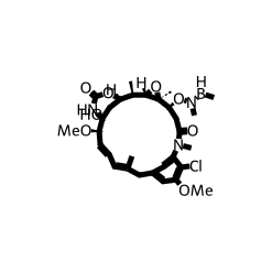 CBN(C)O[C@H]1CC(=O)N(C)c2cc(cc(OC)c2Cl)C/C(C)=C/C=C/[C@@H](OC)[C@@]2(O)C[C@H](OC(=O)N2)[C@@H](C)[C@@H]2O[C@@]12C